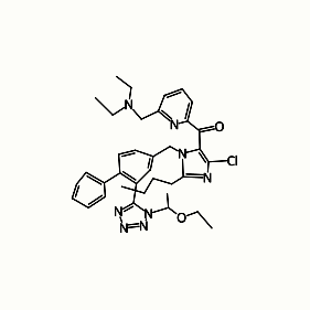 CCCCc1nc(Cl)c(C(=O)c2cccc(CN(CC)CC)n2)n1Cc1ccc(-c2ccccc2)c(-c2nnnn2C(C)OCC)c1